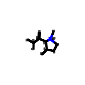 C=C(C(C)C)C1C(C)CCN1C